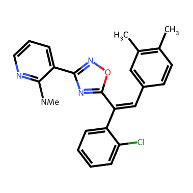 CNc1ncccc1-c1noc(/C(=C\c2ccc(C)c(C)c2)c2ccccc2Cl)n1